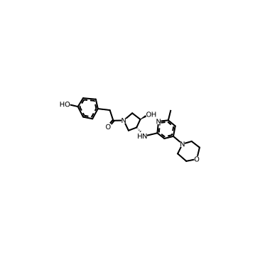 Cc1cc(N2CCOCC2)cc(N[C@@H]2CN(C(=O)Cc3ccc(O)cc3)C[C@H]2O)n1